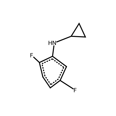 Fc1ccc(F)c(NC2CC2)c1